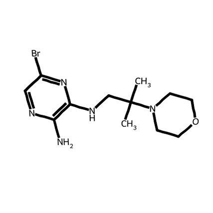 CC(C)(CNc1nc(Br)cnc1N)N1CCOCC1